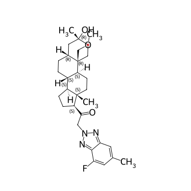 COC[C@]12CC[C@@](C)(O)C[C@H]1CC[C@H]1[C@@H]3CC[C@H](C(=O)Cn4nc5cc(C)cc(F)c5n4)[C@@]3(C)CC[C@@H]12